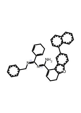 N/C(=N\C(=N/Cc1ccccc1)C1=CCCC=C1)C1=CCCc2oc3ccc(-c4cccc5ccccc45)cc3c21